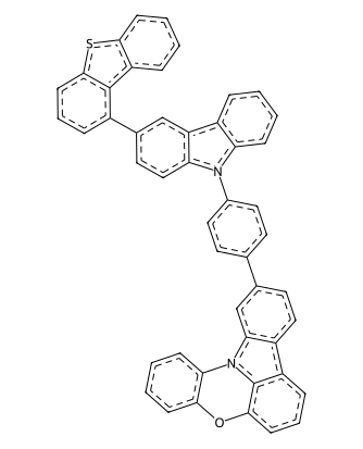 c1ccc2c(c1)Oc1cccc3c4ccc(-c5ccc(-n6c7ccccc7c7cc(-c8cccc9sc%10ccccc%10c89)ccc76)cc5)cc4n-2c13